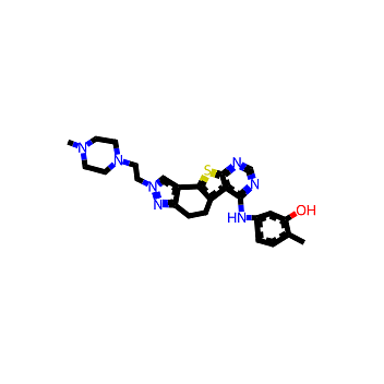 Cc1ccc(Nc2ncnc3sc4c(c23)CCc2nn(CCN3CCN(C)CC3)cc2-4)cc1O